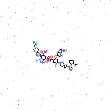 CC(C)c1ccccc1C1CCCN1C1CC2(CCN(c3cc(Oc4cnc5[nH]ccc5c4)c(C(=O)NS(=O)(=O)c4cc([N+](=O)[O-])c(NCC5(F)CCN(CC(F)(F)F)CC5)c5[nH]cnc45)cc3F)CC2)C1